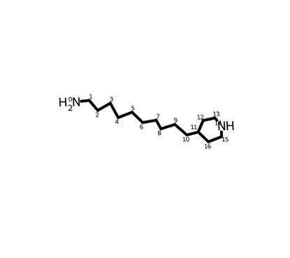 NCCCCCCCCCCC1CCNCC1